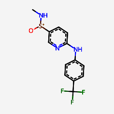 CN[S+]([O-])c1ccc(Nc2ccc(C(F)(F)F)cc2)nc1